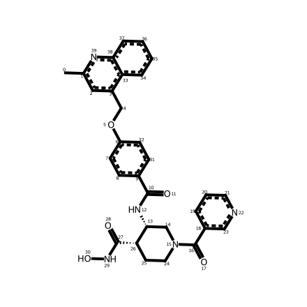 Cc1cc(COc2ccc(C(=O)N[C@@H]3CN(C(=O)c4cccnc4)CC[C@@H]3C(=O)NO)cc2)c2ccccc2n1